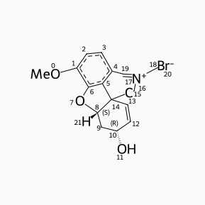 COc1ccc2c3c1O[C@H]1C[C@@H](O)C=CC31CC[N+](C)=C2.[Br-]